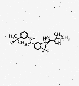 Cc1c(-c2cn(-c3cc(C(=O)Nc4cccc(C(C)(C)C#N)c4)ccc3C(F)(F)F)nn2)cnn1C